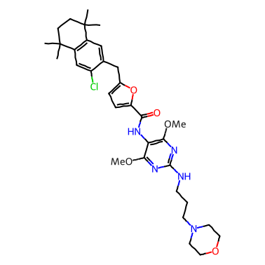 COc1nc(NCCCN2CCOCC2)nc(OC)c1NC(=O)c1ccc(Cc2cc3c(cc2Cl)C(C)(C)CCC3(C)C)o1